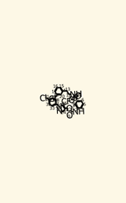 O=C(Nc1cccc(S(=O)(=O)NCCc2cccc(Cl)c2)c1)Oc1cnn(-c2ccc(Cl)cc2)c1C(F)(F)F